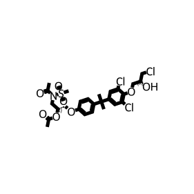 CC(=O)O[C@@H](COc1ccc(C(C)(C)c2cc(Cl)c(OC[C@@H](O)CCl)c(Cl)c2)cc1)CN(C(C)=O)S(C)(=O)=O